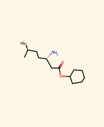 CCCC[C@H](C)CC[C@H](N)CC(=O)OC1CCCCC1